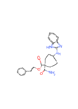 NC(=O)C1(C(=O)OCCc2ccccc2)CCC(Nc2nc3ccccc3[nH]2)CC1